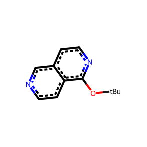 CC(C)(C)Oc1nccc2cnccc12